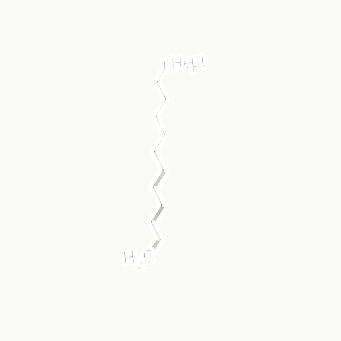 C=C/C=C/C=C/CCCCCCCCCCCC